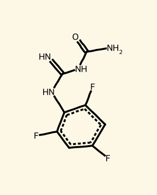 N=C(NC(N)=O)Nc1c(F)cc(F)cc1F